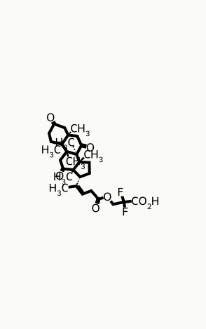 C/C(=C/CC(=O)OCC(F)(F)C(=O)O)[C@H]1CC[C@@]2(C)[C@]3(C)C(=O)C[C@]4(C)CC(=O)CC[C@]4(C)[C@@]3(C)CC(=O)[C@]12C